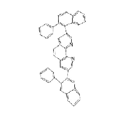 c1ccc(-c2cc3ccccc3cc2-c2cnc3c(ccc4cc(-c5c(-c6ccccc6)ccc6ccccc56)cnc43)c2)cc1